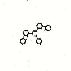 Brc1ccc(-c2nc(-c3cccc4c3oc3ccccc34)cc(-c3cccc4c3oc3ccccc34)n2)cc1